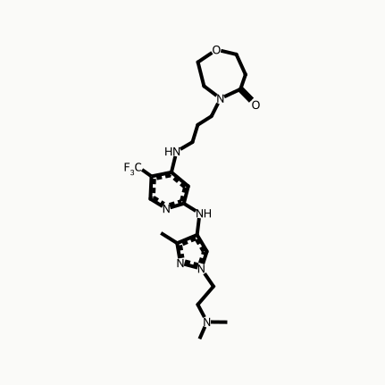 Cc1nn(CCN(C)C)cc1Nc1cc(NCCCN2CCOCCC2=O)c(C(F)(F)F)cn1